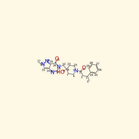 CC(CC(=O)N1CCC(O)(Cn2cnc3cn(C)nc3c2=O)CC1)c1ccccc1